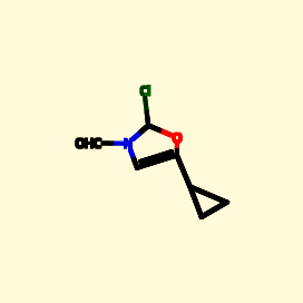 O=CN1C=C(C2CC2)OC1Cl